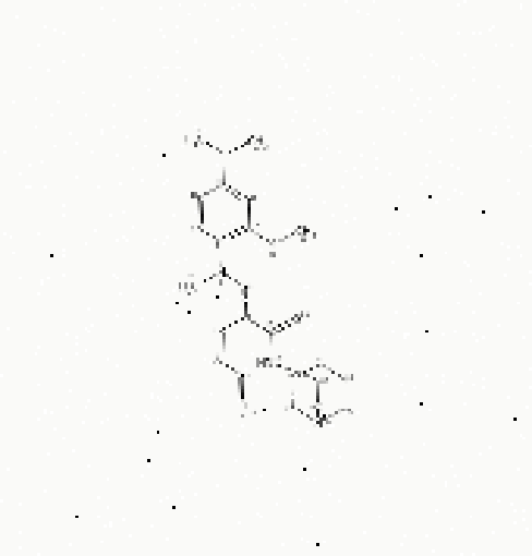 C=C/C=C\C(=C/N(C)c1ccc(C(C)C)cc1SC)C(=O)NC1CN2CCC1CC2